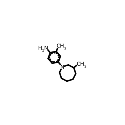 Cc1cc(N2CCCCCC(C)C2)ccc1N